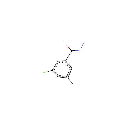 Cc1cc(F)cc(C(O)NI)c1